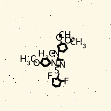 COc1ccc(-n2c(N(C)c3ccc(OC)c(OC)c3)cnc2SCc2c(F)cccc2F)cc1